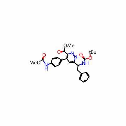 COC(=O)Nc1ccc(-c2cc(C(Cc3ccccc3)NC(=O)OC(C)(C)C)nnc2C(=O)OC)cc1